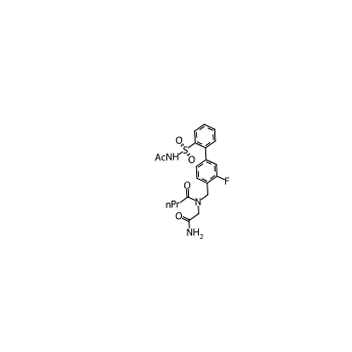 CCCC(=O)N(CC(N)=O)Cc1ccc(-c2ccccc2S(=O)(=O)NC(C)=O)cc1F